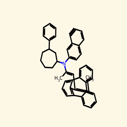 CC1=C(/C=C(\C)N(c2ccc3ccc#cc3c2)C2CCCCC(c3ccccc3)C2)c2c3cccc2-c2cccc1c2-c1ccccc1-3